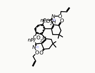 C=CCO/N=C(/CCC)C1=C(c2c(C(=O)O)ccc(C(=O)O)c2C2=C(/C(CCC)=N\OCC=C)C(=O)CC(C)(C)C2)CC(C)(C)CC1=O